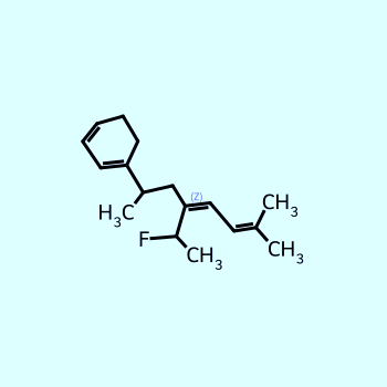 CC(C)=C/C=C(/CC(C)C1=CC=CCC1)C(C)F